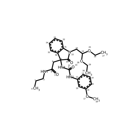 CCCNC(=O)CC1(NC(=O)Nc2cccc(OC)c2)C(=O)N(CC(OCC)OCC)c2ccccc21